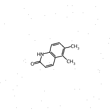 Cc1ccc2[nH]c(=O)ccc2c1C